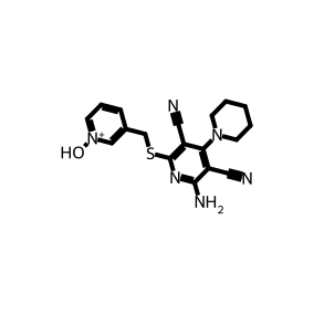 N#Cc1c(N)nc(SCc2ccc[n+](O)c2)c(C#N)c1N1CCCCC1